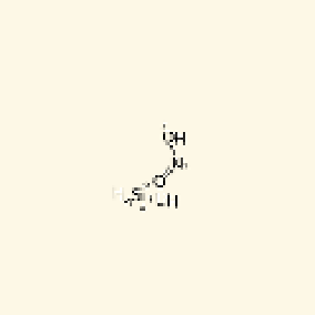 O=NO.[LiH].[SiH4]